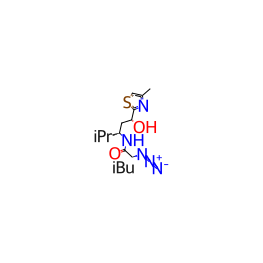 CC[C@H](C)[C@H](N=[N+]=[N-])C(=O)N[C@H](C[C@@H](O)c1nc(C)cs1)C(C)C